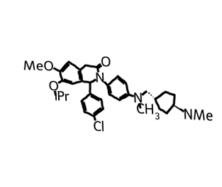 CN[C@H]1CC[C@H](CN(C)c2ccc(N3C(=O)Cc4cc(OC)c(OC(C)C)cc4C3c3ccc(Cl)cc3)cc2)CC1